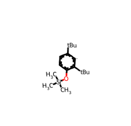 CC(C)(C)c1[c]c(C(C)(C)C)c(O[Si](C)(C)C)cc1